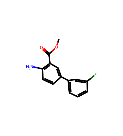 COC(=O)c1cc(-c2cccc(F)c2)ccc1N